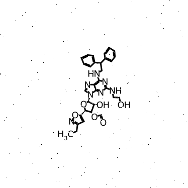 CCc1cc([C@H]2O[C@@H](n3cnc4c(NCC(c5ccccc5)c5ccccc5)nc(NCCO)nc43)[C@H](O)[C@@H]2OC=O)on1